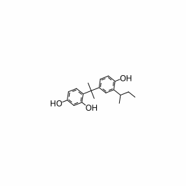 CCC(C)c1cc(C(C)(C)c2ccc(O)cc2O)ccc1O